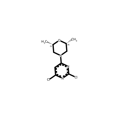 C[C@@H]1CN(c2cc(Cl)nc(Cl)n2)C[C@H](C)O1